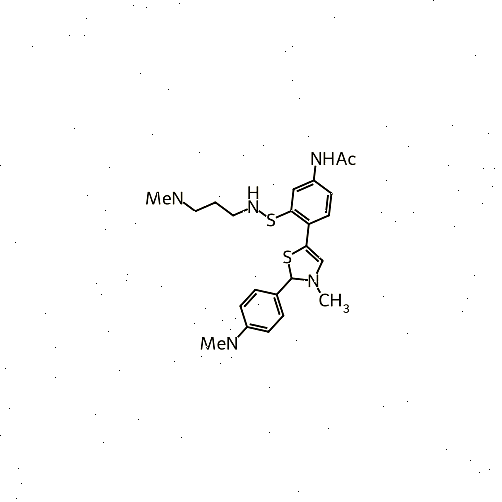 CNCCCNSc1cc(NC(C)=O)ccc1C1=CN(C)C(c2ccc(NC)cc2)S1